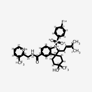 CC(C)=CCC1N(S(=O)(=O)c2ccc(F)cc2)c2ccc(C(=O)NCc3ncccc3C(F)(F)F)cc2C12CCC(O)(C(F)(F)F)CC2